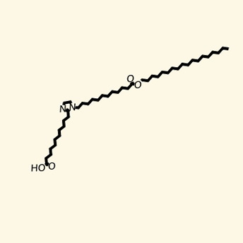 CCCCCCCCCCCCCCCCCCOC(=O)CCCCCCCCCCCN1CCN=C1CCCCCCCCCCC(=O)O